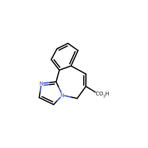 O=C(O)C1=Cc2ccccc2-c2nccn2C1